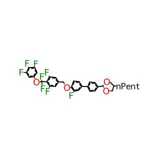 CCCCCC1COC(c2ccc(-c3ccc(OCc4cc(F)c(C(F)(F)Oc5cc(F)c(F)c(F)c5)c(F)c4)c(F)c3)cc2)OC1